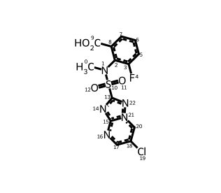 CN(c1c(F)cccc1C(=O)O)S(=O)(=O)c1nc2ncc(Cl)cn2n1